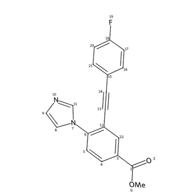 COC(=O)c1ccc(-n2ccnc2)c(C#Cc2ccc(F)cc2)c1